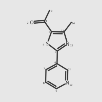 CC(=O)c1sc(-c2cccnc2)nc1C